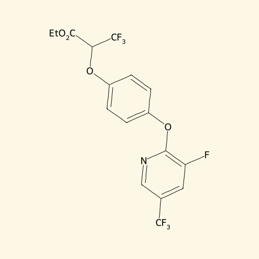 CCOC(=O)C(Oc1ccc(Oc2ncc(C(F)(F)F)cc2F)cc1)C(F)(F)F